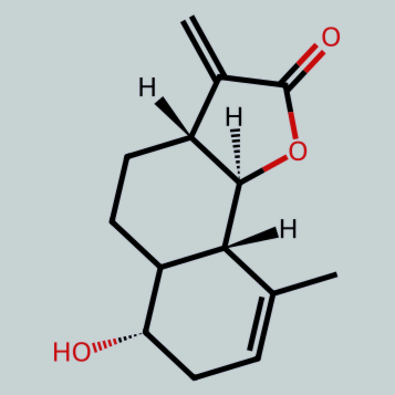 C=C1C(=O)O[C@@H]2[C@@H]1CCC1[C@H]2C(C)=CC[C@@H]1O